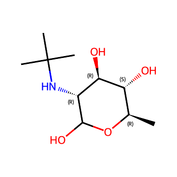 C[C@H]1OC(O)[C@H](NC(C)(C)C)[C@@H](O)[C@@H]1O